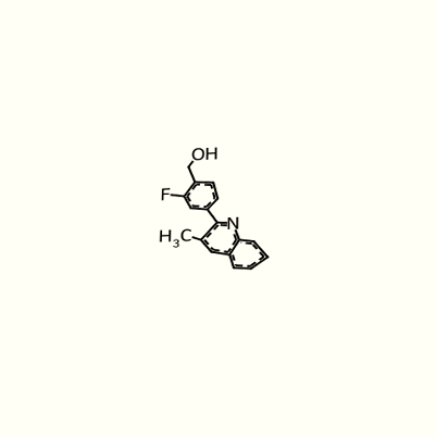 Cc1cc2ccccc2nc1-c1ccc(CO)c(F)c1